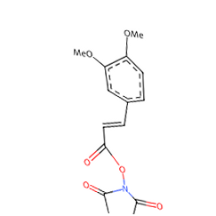 COc1ccc(C=CC(=O)ON2C(=O)CCC2=O)cc1OC